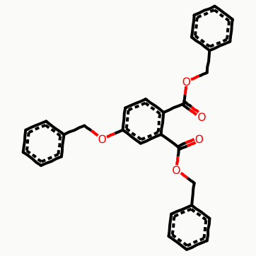 O=C(OCc1ccccc1)c1ccc(OCc2ccccc2)cc1C(=O)OCc1ccccc1